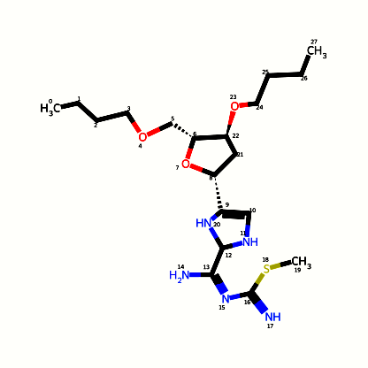 CCCCOC[C@H]1O[C@@H](C2=CNC(/C(N)=N\C(=N)SC)N2)C[C@@H]1OCCCC